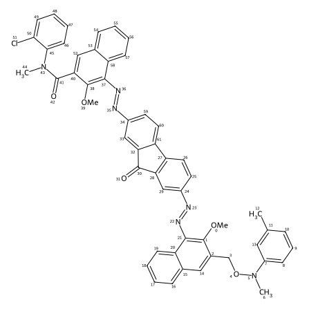 COc1c(CON(C)c2cccc(C)c2)cc2ccccc2c1N=Nc1ccc2c(c1)C(=O)c1cc(N=Nc3c(OC)c(C(=O)N(C)c4ccccc4Cl)cc4ccccc34)ccc1-2